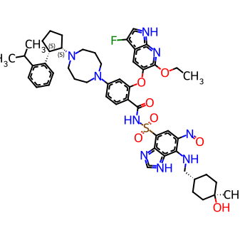 CCOc1nc2[nH]cc(F)c2cc1Oc1cc(N2CCCN([C@H]3CCC[C@H]3c3ccccc3C(C)C)CCC2)ccc1C(=O)NS(=O)(=O)c1cc(N=O)c(NC[C@H]2CC[C@](C)(O)CC2)c2[nH]cnc12